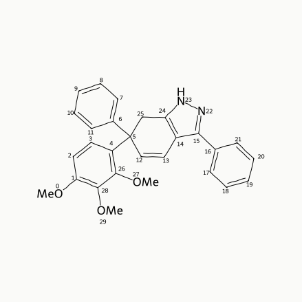 COc1ccc(C2(c3ccccc3)C=Cc3c(-c4ccccc4)n[nH]c3C2)c(OC)c1OC